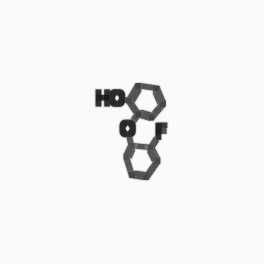 Oc1ccccc1Oc1ccccc1F